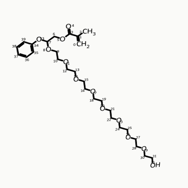 C=C(C)C(=O)OCC(OCCOCCOCCOCCOCCOCCOCCOCCO)Oc1ccccc1